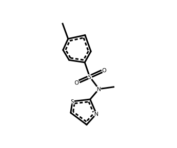 Cc1ccc(S(=O)(=O)N(C)c2nccs2)cc1